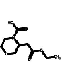 CCOC(=O)CC1COCCN1C(=O)O